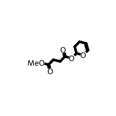 COC(=O)CCC(=O)OC1CCC=CO1